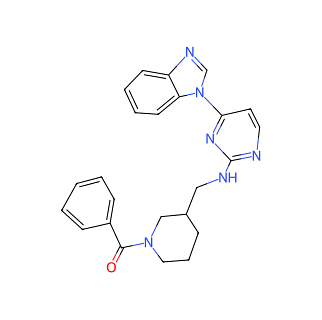 O=C(c1ccccc1)N1CCCC(CNc2nccc(-n3cnc4ccccc43)n2)C1